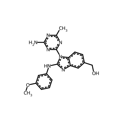 COc1cccc(Nc2nc3cc(CO)ccc3n2-c2nc(C)nc(N)n2)c1